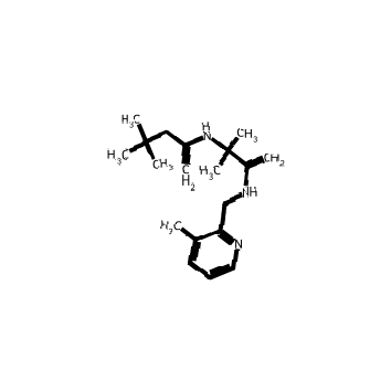 C=C(CC(C)(C)C)NC(C)(C)C(=C)NCc1ncccc1C